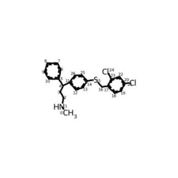 CNCCC(c1ccccc1)c1ccc(SCc2ccc(Cl)cc2Cl)cc1